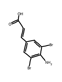 Nc1c(Br)cc(C=CC(=O)O)cc1Br